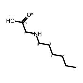 CCCCCCNCC(=O)O